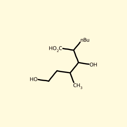 CCCCC(C(=O)O)C(O)C(C)CCO